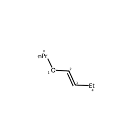 CC[CH]O/C=C/CC